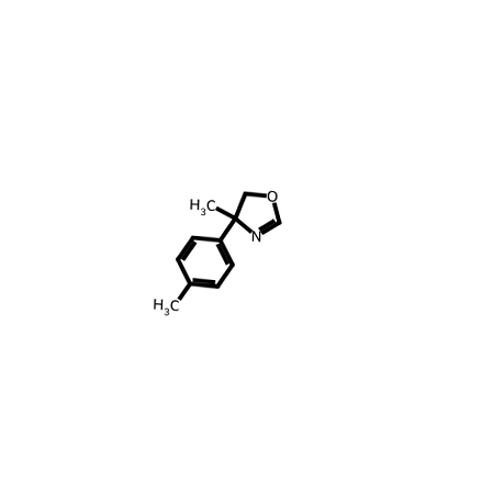 Cc1ccc(C2(C)COC=N2)cc1